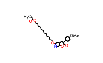 C=CC(=O)OCCCCCCCCCCCCOc1cc2cc(-c3ccc(OC)cc3)c(=O)oc2cn1